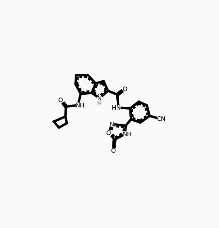 N#Cc1ccc(NC(=O)c2cc3cccc(NC(=O)C4CCC4)c3[nH]2)c(-c2noc(=O)[nH]2)c1